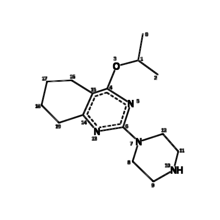 CC(C)Oc1nc(N2CCNCC2)nc2c1CCCC2